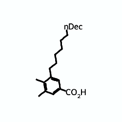 CCCCCCCCCCCCCCCCc1cc(C(=O)O)cc(C)c1C